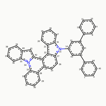 c1ccc(-c2cc(-c3ccccc3)cc(-n3c4ccccc4c4c5c(ccc43)c3ccccc3n3c4ccccc4cc53)c2)cc1